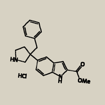 COC(=O)c1cc2cc(C3(Cc4ccccc4)CCNC3)ccc2[nH]1.Cl